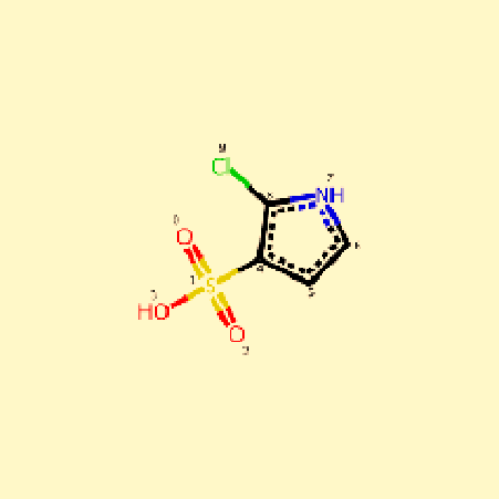 O=S(=O)(O)c1cc[nH]c1Cl